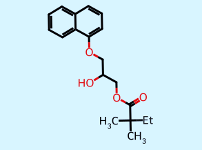 CCC(C)(C)C(=O)OCC(O)COc1cccc2ccccc12